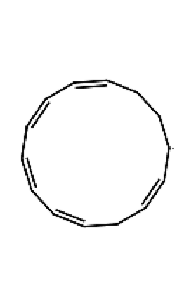 [CH]1C=CCC=CC=CC=CC=CCC1